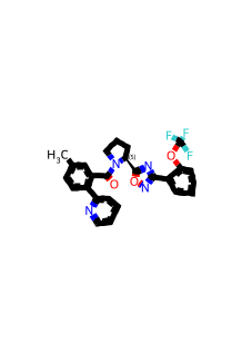 Cc1ccc(-c2ccccn2)c(C(=O)N2CCC[C@H]2c2nc(-c3ccccc3OC(F)(F)F)no2)c1